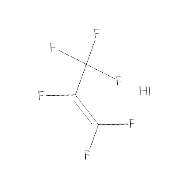 FC(F)=C(F)C(F)(F)F.I